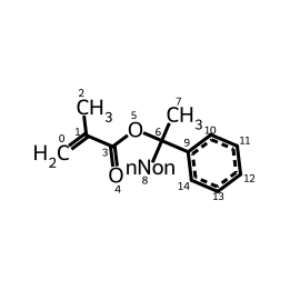 C=C(C)C(=O)OC(C)(CCCCCCCCC)c1ccccc1